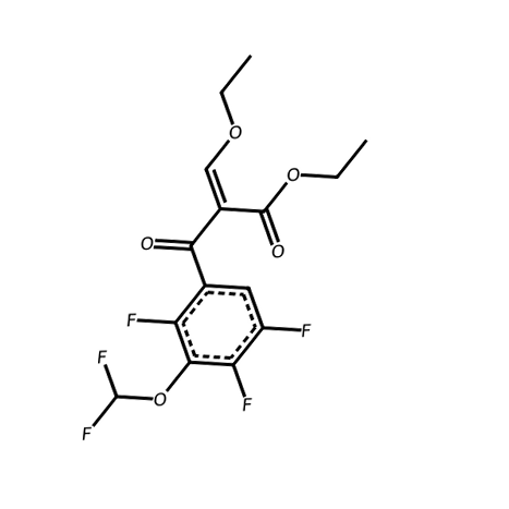 CCOC=C(C(=O)OCC)C(=O)c1cc(F)c(F)c(OC(F)F)c1F